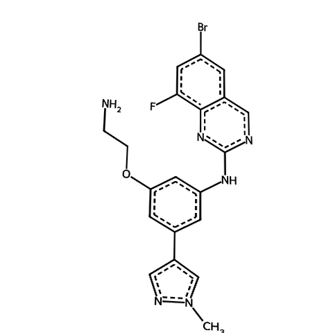 Cn1cc(-c2cc(Nc3ncc4cc(Br)cc(F)c4n3)cc(OCCN)c2)cn1